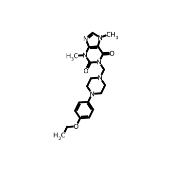 CCOc1ccc(N2CCN(Cn3c(=O)c4c(ncn4C)n(C)c3=O)CC2)cc1